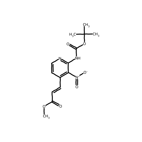 COC(=O)C=Cc1ccnc(NC(=O)OC(C)(C)C)c1[N+](=O)[O-]